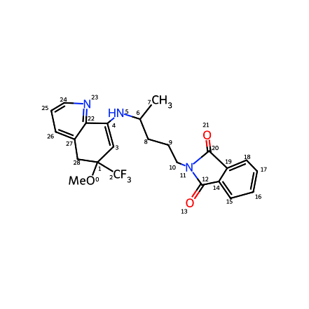 COC1(C(F)(F)F)C=C(NC(C)CCCN2C(=O)c3ccccc3C2=O)c2ncccc2C1